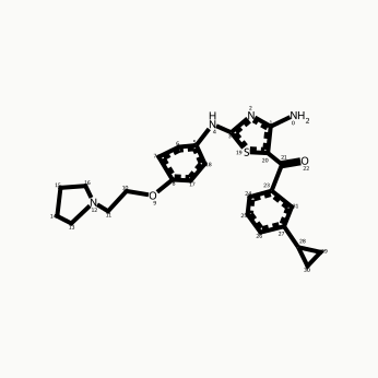 Nc1nc(Nc2ccc(OCCN3CCCC3)cc2)sc1C(=O)c1cccc(C2CC2)c1